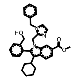 COC(=O)c1ccc2c(C3CCCCC3)c(-c3ccccc3CO)n(Cc3nccn3Cc3ccccc3)c2c1